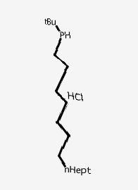 CCCCCCCCCCCCCCPC(C)(C)C.Cl